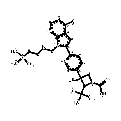 CC(C)(C)C1N(C(=O)O)CC1(O)c1ccc(-c2cc3c(Cl)ncnc3n2COCC[Si](C)(C)C)nc1